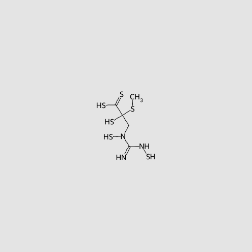 CSC(S)(CN(S)C(=N)NS)C(=S)S